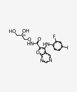 O=C(NOC[C@H](O)CO)c1oc2ncncc2c1Nc1ccc(I)cc1F